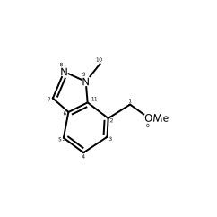 COCc1cc[c]c2cnn(C)c12